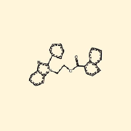 O=C(OCCn1c(-c2ccccc2)nc2ccccc21)c1cccc2ccccc12